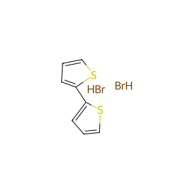 Br.Br.c1csc(-c2cccs2)c1